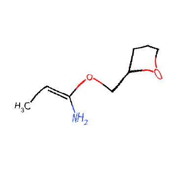 C/C=C(\N)OCC1CCO1